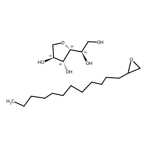 CCCCCCCCCCCCC1CO1.OC[C@@H](O)[C@H]1OC[C@H](O)[C@H]1O